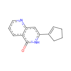 O=c1[nH]c(C2=CCCC2)cc2ncccc12